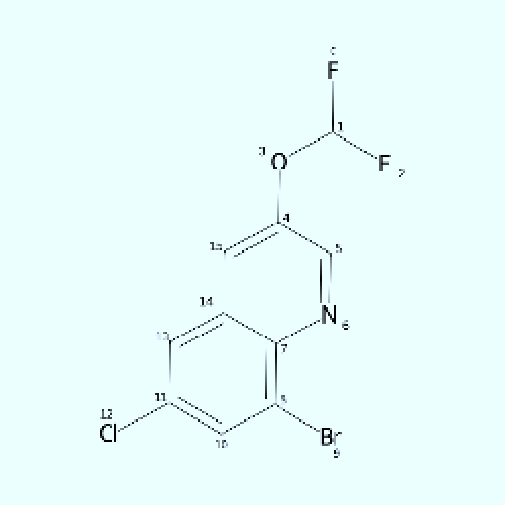 FC(F)Oc1cnc2c(Br)cc(Cl)cc2c1